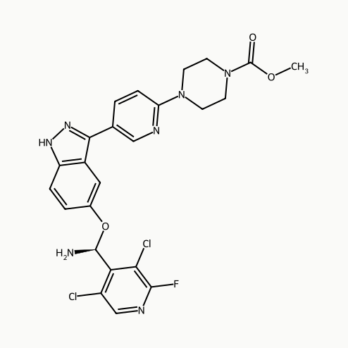 COC(=O)N1CCN(c2ccc(-c3n[nH]c4ccc(O[C@H](N)c5c(Cl)cnc(F)c5Cl)cc34)cn2)CC1